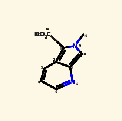 CCOC(=O)c1c2cccnc2cn1C